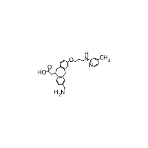 Cc1ccnc(NCCCOc2ccc3c(c2)Cc2cc(CN)ccc2C(CC(=O)O)C3)c1